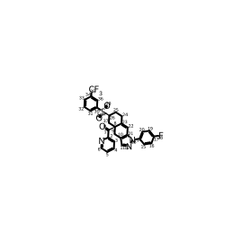 O=C(c1ccccn1)[C@]12Cc3cnn(-c4ccc(F)cc4)c3C=C1CC[C@H](S(=O)(=O)c1cccc(C(F)(F)F)c1)C2